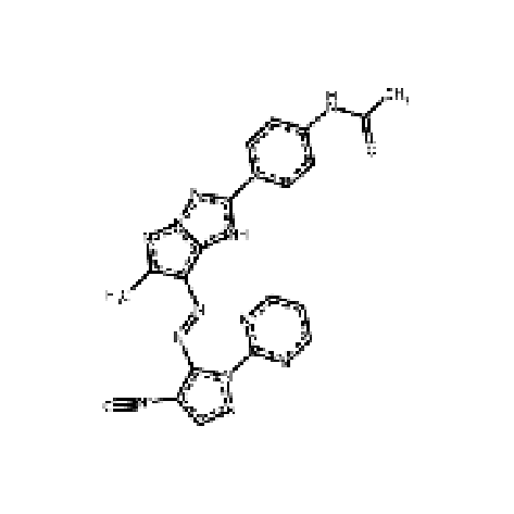 [C-]#[N+]c1cnn(-c2ncccn2)c1/N=N/c1c(C)nn2nc(-c3ccc(NC(C)=O)cc3)[nH]c12